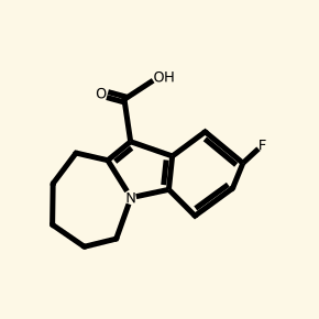 O=C(O)c1c2n(c3ccc(F)cc13)CCCCC2